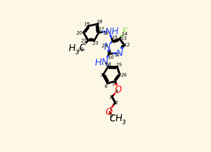 COCCOc1ccc(Nc2ncc(F)c(Nc3cccc(C)c3)n2)cc1